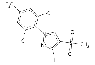 CS(=O)(=O)c1cn(-c2c(Cl)cc(C(F)(F)F)cc2Cl)nc1I